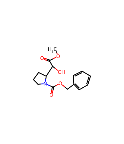 COC(=O)C(O)C1CCCN1C(=O)OCc1ccccc1